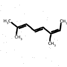 [CH2]C=C(C)C=CC=C(C)C